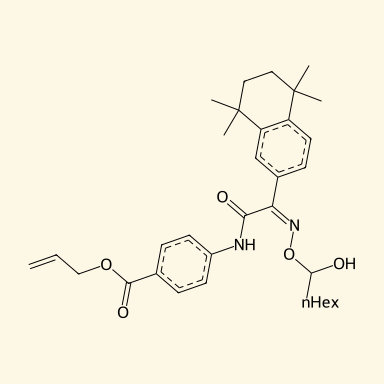 C=CCOC(=O)c1ccc(NC(=O)/C(=N\OC(O)CCCCCC)c2ccc3c(c2)C(C)(C)CCC3(C)C)cc1